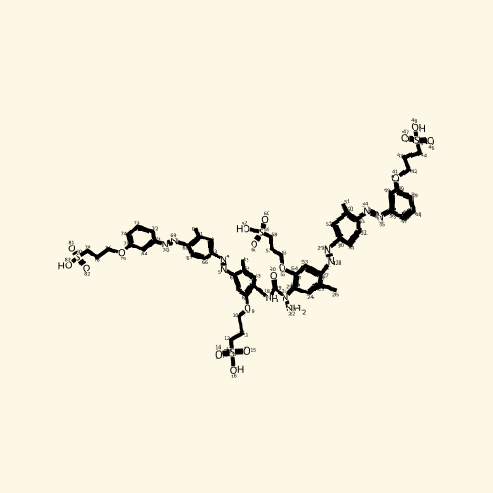 Cc1cc(N=Nc2cc(OCCCS(=O)(=O)O)c(NC(=O)N(N)c3cc(C)c(N=Nc4ccc(N=Nc5cccc(OCCCS(=O)(=O)O)c5)c(C)c4)cc3OCCCS(=O)(=O)O)cc2C)ccc1N=Nc1cccc(OCCCS(=O)(=O)O)c1